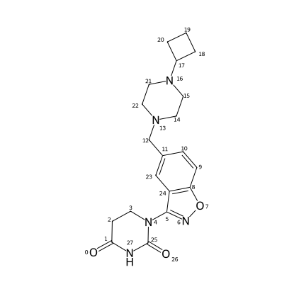 O=C1CCN(c2noc3ccc(CN4CCN(C5CCC5)CC4)cc23)C(=O)N1